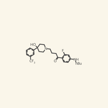 CCCCNc1ccc(C(=O)CCCN2CCC(O)(c3cccc(C(F)(F)F)c3)CC2)c(F)c1